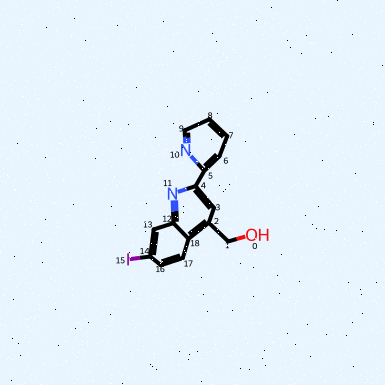 OCc1cc(-c2ccccn2)nc2cc(I)ccc12